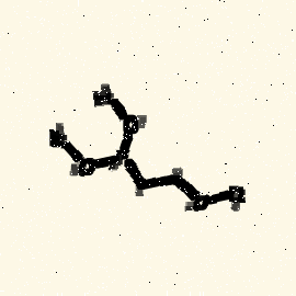 [CH2]COCCP(OCC)OCC